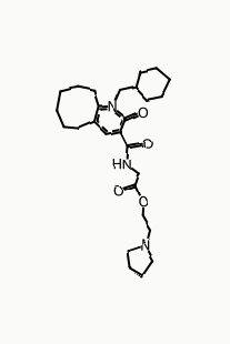 O=C(CNC(=O)c1cc2c(n(CC3CCCCC3)c1=O)CCCCCC2)OCCN1CCCC1